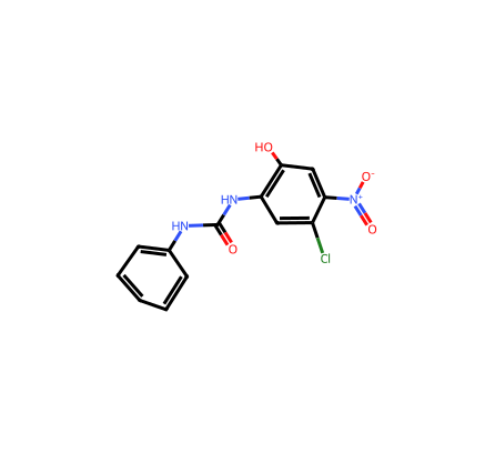 O=C(Nc1ccccc1)Nc1cc(Cl)c([N+](=O)[O-])cc1O